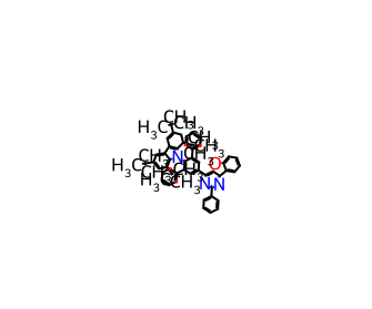 CC(C)(C)C1=Cc2c(n(-c3c(C4=CC=CCC4)cc(-c4nc(-c5ccccc5)nc5c4oc4ccccc45)cc3-c3ccccc3)c3c(C(C)(C)C)cc(C(C)(C)C)cc23)C(C(C)(C)C)C1